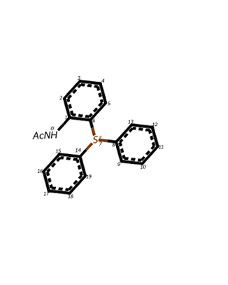 CC(=O)Nc1ccccc1[S+](c1ccccc1)c1ccccc1